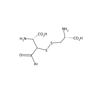 CC(=O)C(=O)C(SSC[C@H](N)C(=O)O)[C@H](N)C(=O)O